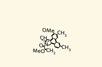 C=C[C@@H]1Cc2c(c3ccc(C)cc3c3cc(C)c(OC)cc23)CN1C(=O)C(=C)OC